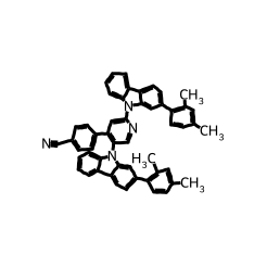 Cc1ccc(-c2ccc3c4ccccc4n(-c4cc(-c5ccc(C#N)cc5)c(-n5c6ccccc6c6ccc(-c7ccc(C)cc7C)cc65)cn4)c3c2)c(C)c1